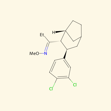 CCC(=NOC)[C@@H]1[C@@H]2CCC(C2)C[C@H]1c1ccc(Cl)c(Cl)c1